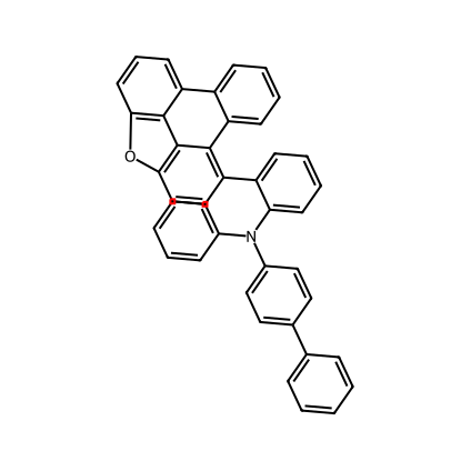 c1ccc(-c2ccc(N(c3ccccc3)c3ccccc3-c3ccc4oc5cccc6c7ccccc7c3c4c56)cc2)cc1